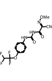 CON=C(C#N)C(=O)NC(=O)Nc1ccc(OC(F)(F)C(F)F)cc1